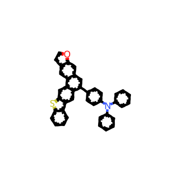 c1ccc(N(c2ccccc2)c2ccc(-c3cc4cc5occc5cc4c4cc5sc6ccccc6c5cc34)cc2)cc1